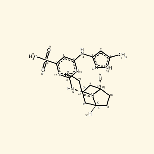 Cc1cc(Nc2cc(S(C)(=O)=O)nc(N[C@@H]3C[C@H]4CC[C@@H](C3)N4CCC#N)n2)n[nH]1